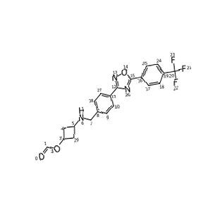 O=COC1CC(NCc2ccc(-c3noc(-c4ccc(C(F)(F)F)cc4)n3)cc2)C1